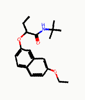 CCOc1ccc2ccc(OC(CC)C(=O)NC(C)(C)C)cc2c1